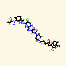 C=CC(=O)Nc1cccc(CNc2nc(Nc3cnn(C4CCN(CCNC(=O)CC5[C@@H]6CC[C@@H](C6)C[C@@H]5C)CC4)c3)ncc2Cl)c1